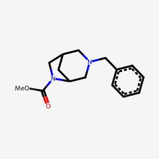 COC(=O)N1CC2CC1CN(Cc1ccccc1)C2